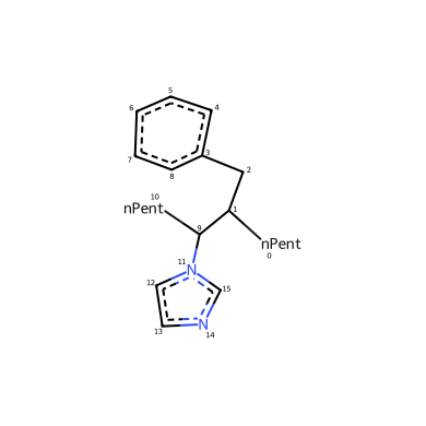 CCCCCC(Cc1ccccc1)C(CCCCC)n1ccnc1